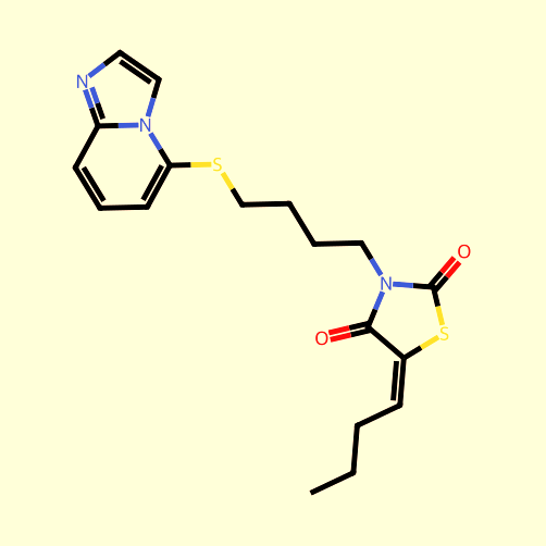 CCCC=C1SC(=O)N(CCCCSc2cccc3nccn23)C1=O